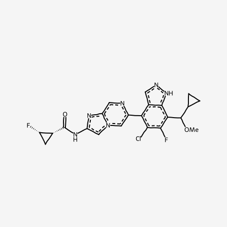 COC(c1c(F)c(Cl)c(-c2cn3cc(NC(=O)[C@@H]4C[C@@H]4F)nc3cn2)c2cn[nH]c12)C1CC1